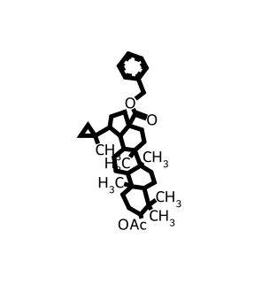 CC(=O)OC1CCC2(C)C(CCC3(C)C2CCC2C4C(C5(C)CC5)CCC4(C(=O)OCc4ccccc4)CCC23C)C1(C)C